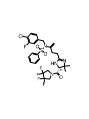 C=C(CCC1=NC(C)(C)[C@H](C(=O)N2CC(F)(F)C(F)(F)C2)N1)N(Cc1ccc(Cl)c(F)c1)S(=O)(=O)c1ccccc1